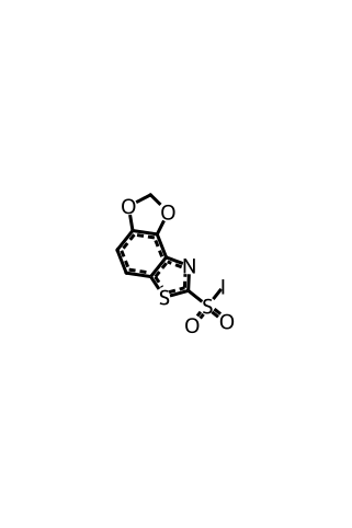 O=S(=O)(I)c1nc2c3c(ccc2s1)OCO3